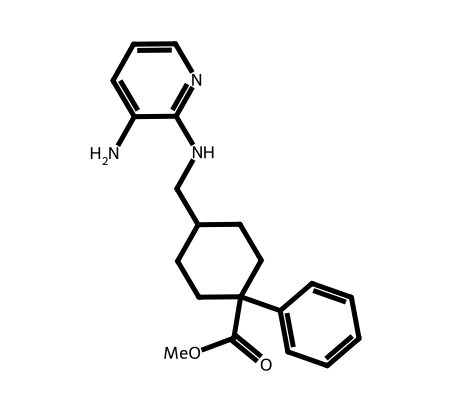 COC(=O)C1(c2ccccc2)CCC(CNc2ncccc2N)CC1